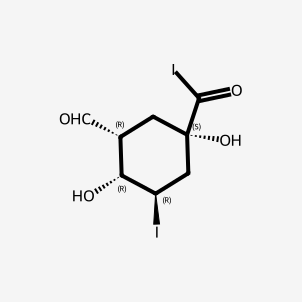 O=C[C@@H]1C[C@@](O)(C(=O)I)C[C@@H](I)[C@@H]1O